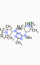 CCCCN(c1nc(C)nc(N(CCCC)C2CC(C)(C)N(Cl)C(C)(C)C2)n1)C1CC(C)(C)N(C)C(C)(C)C1